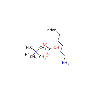 CCCCCCCCCCCCCCN.C[N+](C)(C)C.[H+].[O-]B([O-])O